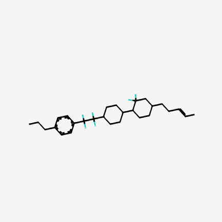 C/C=C/CCC1CCC(C2CCC(C(F)(F)C(F)(F)c3ccc(CCC)cc3)CC2)C(F)(F)C1